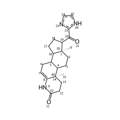 C[C@]12CCC3C(CC=C4NC(=O)CC[C@@]43C)C1CCC2C(=O)c1ncc[nH]1